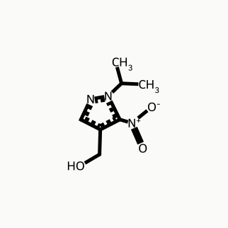 CC(C)n1ncc(CO)c1[N+](=O)[O-]